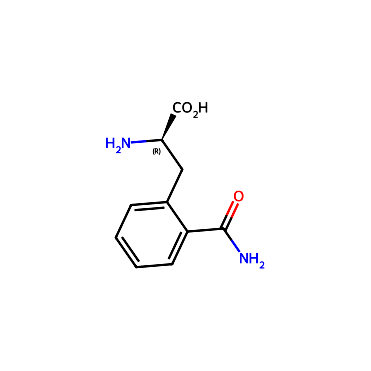 NC(=O)c1ccccc1C[C@@H](N)C(=O)O